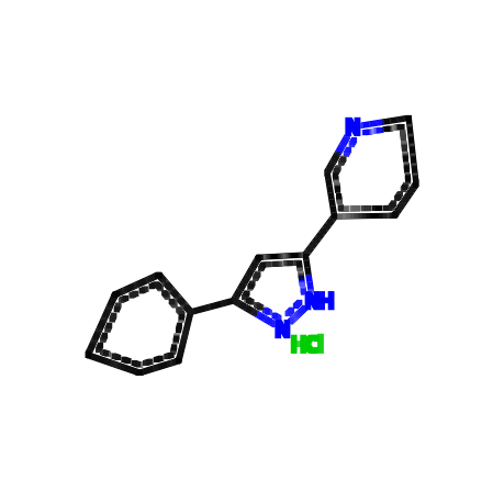 Cl.c1ccc(-c2cc(-c3cccnc3)[nH]n2)cc1